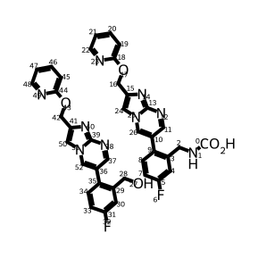 O=C(O)NCc1cc(F)ccc1-c1cnc2nc(COc3ccccn3)cn2c1.OCc1cc(F)ccc1-c1cnc2nc(COc3ccccn3)cn2c1